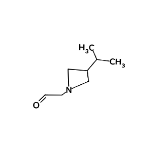 CC(C)C1CN(CC=O)C1